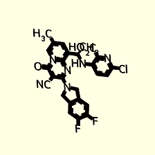 Cc1cc([C@@H](C)Nc2ccc(Cl)nc2C(=O)O)c2nc(N3Cc4cc(F)c(F)cc4C3)c(C#N)c(=O)n2c1